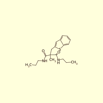 CCCNC(=O)C(C)(Cc1cc2ccccc2s1)C(=O)NCCC